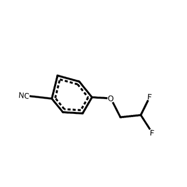 N#Cc1ccc(OCC(F)F)cc1